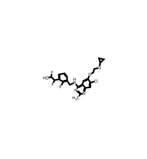 Cc1nc(NCc2cccc(C(F)C(O)F)c2F)c2cc(OCCOC3CC3)c(Cl)cc2n1